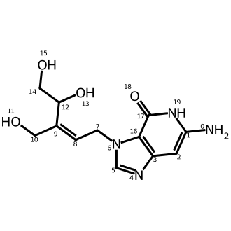 Nc1cc2ncn(C/C=C(/CO)C(O)CO)c2c(=O)[nH]1